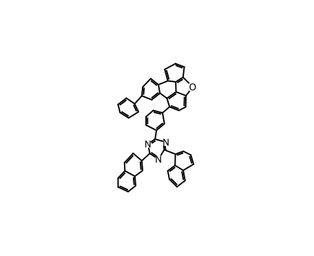 c1ccc(-c2ccc3c(c2)c2c(-c4cccc(-c5nc(-c6ccc7ccccc7c6)nc(-c6cccc7ccccc67)n5)c4)ccc4oc5cccc3c5c42)cc1